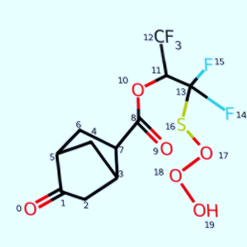 O=C1CC2CC1CC2C(=O)OC(C(F)(F)F)C(F)(F)SOOO